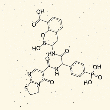 O=C(O)c1cccc2c1OB(O)C(NC(=O)C(NC(=O)c1cnc3n(c1=O)CCS3)c1ccc(P(=O)(O)O)cc1)C2